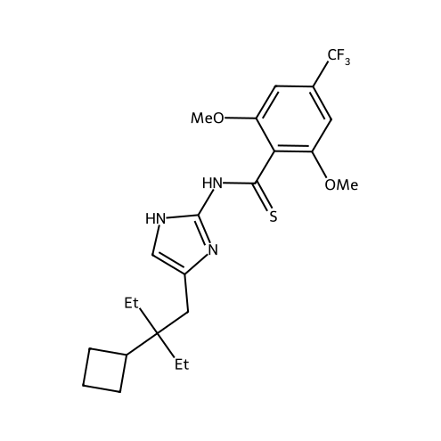 CCC(CC)(Cc1c[nH]c(NC(=S)c2c(OC)cc(C(F)(F)F)cc2OC)n1)C1CCC1